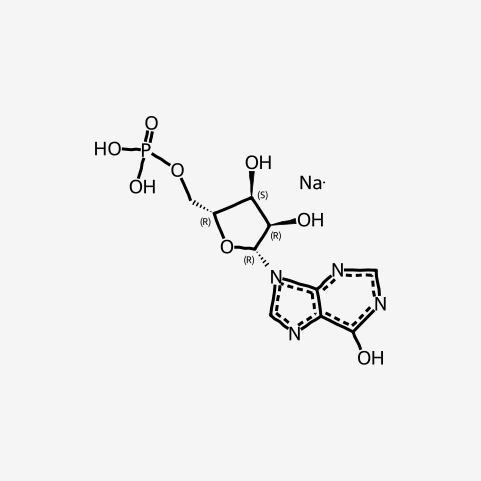 O=P(O)(O)OC[C@H]1O[C@@H](n2cnc3c(O)ncnc32)[C@H](O)[C@@H]1O.[Na]